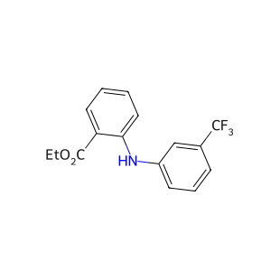 CCOC(=O)c1ccccc1Nc1cccc(C(F)(F)F)c1